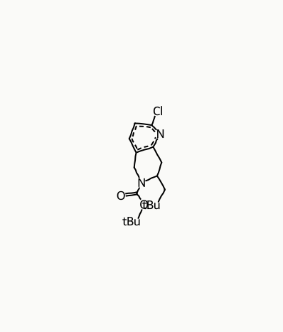 CC(C)(C)CC1Cc2nc(Cl)ccc2CN1C(=O)OC(C)(C)C